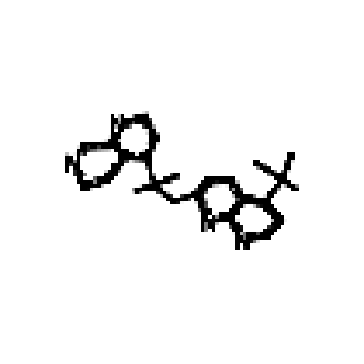 CC(C)(C)c1ccnc2nc(CC(C)(C)c3ccnc4cnccc34)ccc12